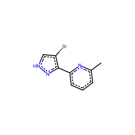 Cc1cccc(-c2n[nH]cc2Br)n1